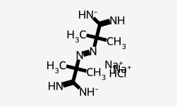 CC(C)(N=NC(C)(C)C(=N)[NH-])C(=N)[NH-].Cl.[Na+].[Na+]